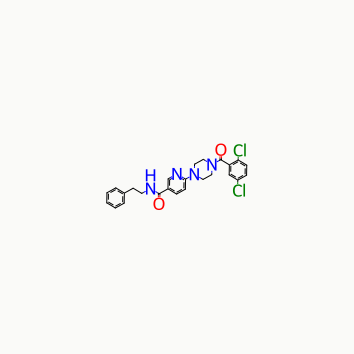 O=C(NCCc1ccccc1)c1ccc(N2CCN(C(=O)c3cc(Cl)ccc3Cl)CC2)nc1